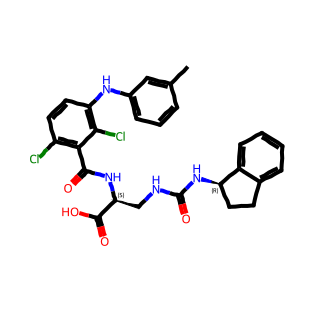 Cc1cccc(Nc2ccc(Cl)c(C(=O)N[C@@H](CNC(=O)N[C@@H]3CCc4ccccc43)C(=O)O)c2Cl)c1